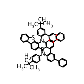 CC(C)(C)c1ccc(N2B3c4ccc5c(sc6ccccc65)c4N(c4ccc(C(C)(C)C)cc4-c4ccccc4)c4cc(-c5ccccc5)cc(c43)-c3cc(-c4ccccc4)ccc32)cc1